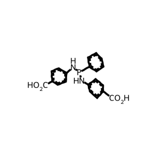 O=C(O)c1ccc(NP(Nc2ccc(C(=O)O)cc2)c2ccccc2)cc1